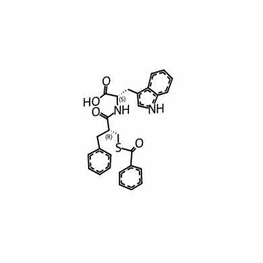 O=C(SC[C@H](Cc1ccccc1)C(=O)N[C@@H](Cc1c[nH]c2ccccc12)C(=O)O)c1ccccc1